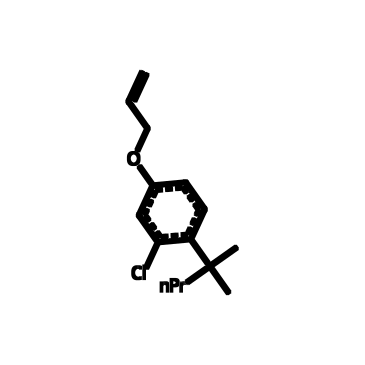 C=CCOc1ccc(C(C)(C)CCC)c(Cl)c1